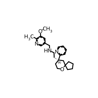 COc1cc(CNCC[C@@]2(c3ccccn3)CCOC3(CCCC3)C2)cnc1C